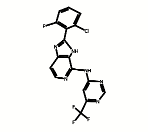 Fc1cccc(Cl)c1-c1nc2ccnc(Nc3cc(C(F)(F)F)ncn3)c2[nH]1